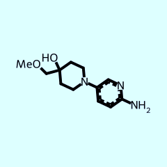 COCC1(O)CCN(c2ccc(N)nc2)CC1